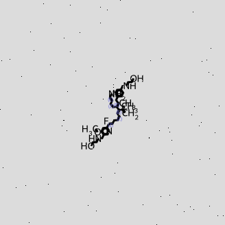 C=C(C)C(=C\C=C/C/C=C(\F)c1cc(OC)c(CNCCO)cn1)/C(/C=C\C=C\N)=C(\C)Cc1ccc(CNCCO)cn1